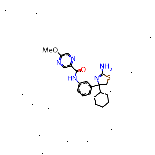 COc1cnc(C(=O)Nc2cccc(C3(C4CCCCC4)CSC(N)=N3)c2)cn1